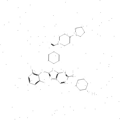 O=C([C@H]1CC[C@@H](n2c(Nc3c(F)cccc3F)nc3cnc(N[C@H]4CC[C@H](O)CC4)nc32)CC1)N1CCC(N2CCCC2)CC1